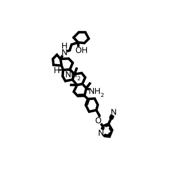 CC1(N)C(C2=CCC(COc3ncccc3C#N)CC2)=CCC2(C)C1CCC1(C)C2CC[C@@H]2C3CCCC3(NCCC3(O)CCCCC3)CCC21N